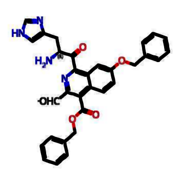 N[C@@H](Cc1c[nH]cn1)C(=O)c1nc([C]=O)c(C(=O)OCc2ccccc2)c2ccc(OCc3ccccc3)cc12